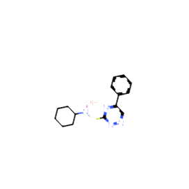 ON(Sc1nncc(-c2ccccc2)n1)C1CCCCC1